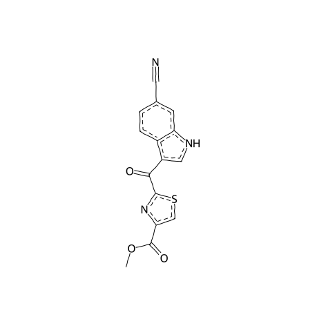 COC(=O)c1csc(C(=O)c2c[nH]c3cc(C#N)ccc23)n1